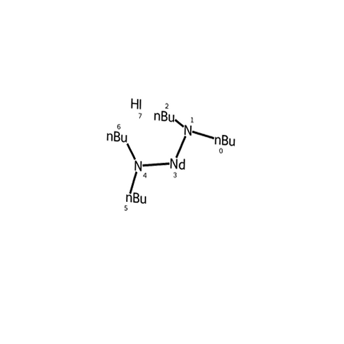 CCCC[N](CCCC)[Nd][N](CCCC)CCCC.I